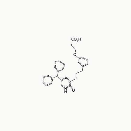 O=C(O)CCOc1cccc(CCCc2cc(C(c3ccccc3)c3ccccc3)c[nH]c2=O)c1